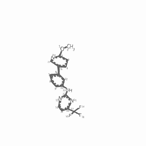 COc1ccc(-c2cccc(Nc3nccc(C(F)(F)F)n3)c2)cn1